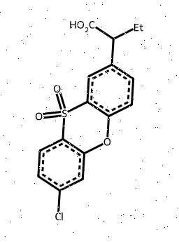 CCC(C(=O)O)c1ccc2c(c1)S(=O)(=O)c1ccc(Cl)cc1O2